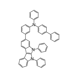 c1ccc(-c2ccc(N(c3ccccc3)c3cccc(-c4ccc5c6c7ccccc7n(-c7ccccc7)c6n(-c6ccccc6)c5c4)c3)cc2)cc1